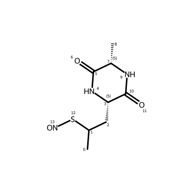 CC(C[C@@H]1NC(=O)[C@H](C)NC1=O)SN=O